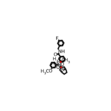 COc1cccc(N(c2cccc(C(=O)NCc3cccc(F)c3)c2)C2CC3CCC(C2)N3C(=O)OC(C)(C)C)c1